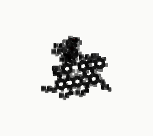 CSc1cc2c3c(c1)N(SC)c1cc4c(cc1B3c1cc3c(cc1N2SC)Nc1cc(SC)cc2c1B3c1cccc3c1N2c1ccccc1[Si]3(C)C)B1c2cccc3c2N(c2ccccc2[Si]3(C)C)c2cc(SC)cc(c21)N4SC